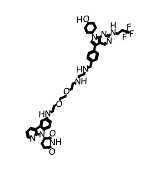 O=C1CCC(n2c3ccc(NCCOCCOCCNCCNCc4ccc(-c5cn([C@H]6CC[C@H](O)CC6)c6nc(NCCC(F)(F)F)ncc56)cc4)cc3c3cccnc32)C(=O)N1